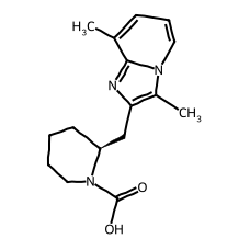 Cc1cccn2c(C)c(C[C@@H]3CCCCN3C(=O)O)nc12